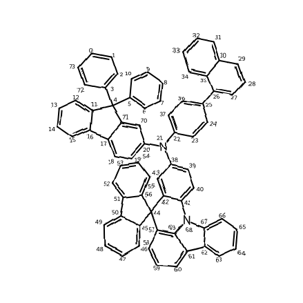 c1ccc(C2(c3ccccc3)c3ccccc3-c3ccc(N(c4ccc(-c5cccc6ccccc56)cc4)c4ccc5c(c4)C4(c6ccccc6-c6ccccc64)c4cccc6c7ccccc7n-5c46)cc32)cc1